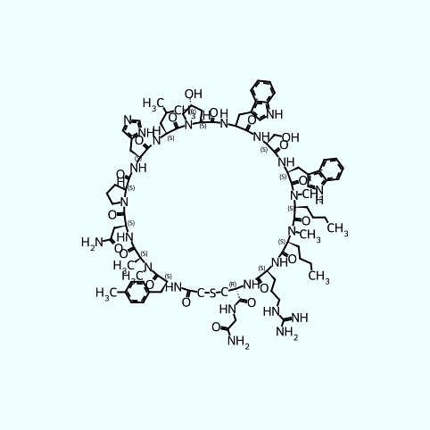 CCCC[C@H]1C(=O)N(C)[C@@H](CCCC)C(=O)N[C@@H](CCCNC(=N)N)C(=O)N[C@H](C(=O)NCC(N)=O)CSCC(=O)N[C@@H](Cc2ccc(C)cc2)C(=O)N(C)[C@@H](C)C(=O)N[C@@H](CC(N)=O)C(=O)N2CCC[C@H]2C(=O)N[C@@H](Cc2cnc[nH]2)C(=O)N[C@@H](CC(C)C)C(=O)N2C[C@H](O)C[C@H]2C(=O)NC(Cc2c[nH]c3ccccc23)C(=O)N[C@@H](CO)C(=O)N[C@@H](Cc2c[nH]c3ccccc23)C(=O)N1C